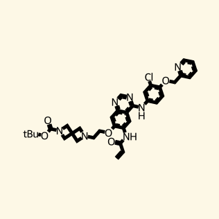 C=CC(=O)Nc1cc2c(Nc3ccc(OCc4ccccn4)c(Cl)c3)ncnc2cc1OCCN1CC2(C1)CN(C(=O)OC(C)(C)C)C2